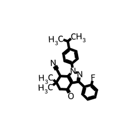 CC(C)c1ccc(-n2nc(-c3ccccc3F)c3c2C(C#N)C(C)(C)CC3=O)cc1